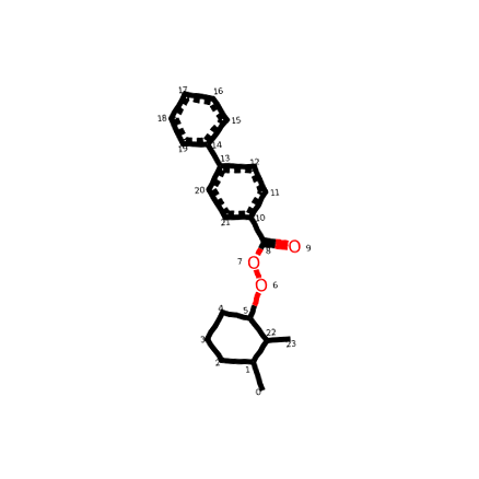 CC1CCC[C](OOC(=O)c2ccc(-c3ccccc3)cc2)C1C